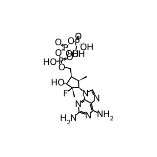 C[C@@H]1[C@H](COP(=O)(O)OP(=O)(O)OP(=O)(O)O)[C@@H](O)[C@@](C)(F)[C@@H]1n1cnc2c(N)nc(N)nc21